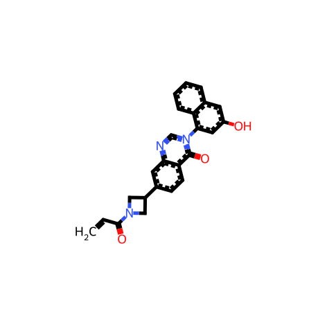 C=CC(=O)N1CC(c2ccc3c(=O)n(-c4cc(O)cc5ccccc45)cnc3c2)C1